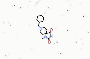 CN1C(=O)[N]C(=O)C12CCN(CC1CCCCC1)CC2